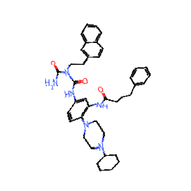 NC(=O)N(CCc1ccc2ccccc2c1)C(=O)Nc1ccc(N2CCN(C3CCCCC3)CC2)c(NC(=O)CCCc2ccccc2)c1